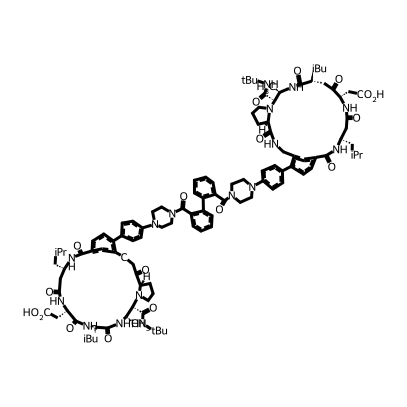 CC[C@H](C)[C@@H]1CC(=O)[C@H](CC(=O)O)NC(=O)C[C@H](CC(C)C)NC(=O)c2ccc(-c3ccc(N4CCN(C(=O)c5ccccc5-c5ccccc5C(=O)N5CCN(c6ccc(-c7ccc8cc7CCC(=O)[C@@H]7CCCN7[C@H](C(=O)NC(C)(C)C)[C@H](C)NC(=O)[C@H]([C@@H](C)CC)NC(=O)[C@H](CC(=O)O)NC(=O)C[C@H](CC(C)C)NC8=O)cc6)CC5)CC4)cc3)c(c2)CNC(=O)[C@@H]2CCCN2[C@H](C(=O)NC(C)(C)C)[C@H](C)NC1=O